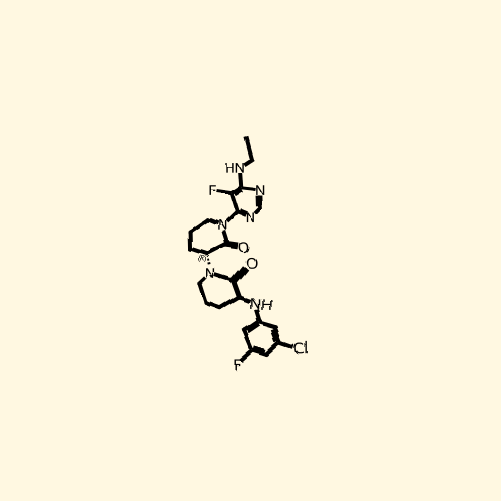 CCNc1ncnc(N2CCC[C@@H](N3CCCC(Nc4cc(F)cc(Cl)c4)C3=O)C2=O)c1F